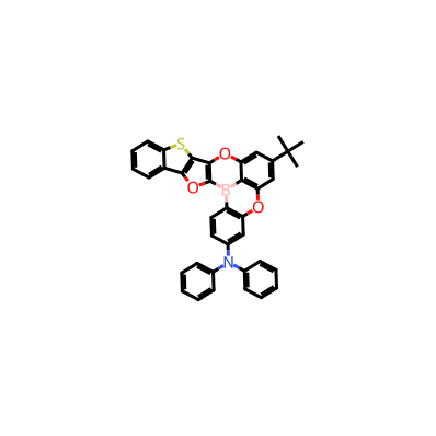 CC(C)(C)c1cc2c3c(c1)Oc1c(oc4c1sc1ccccc14)B3c1ccc(N(c3ccccc3)c3ccccc3)cc1O2